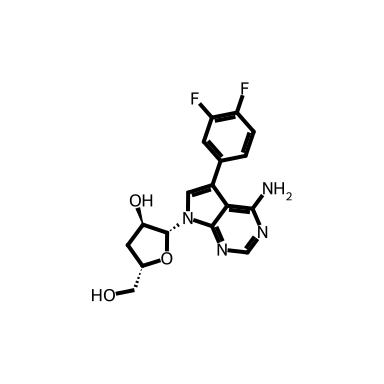 Nc1ncnc2c1c(-c1ccc(F)c(F)c1)cn2[C@@H]1O[C@H](CO)C[C@H]1O